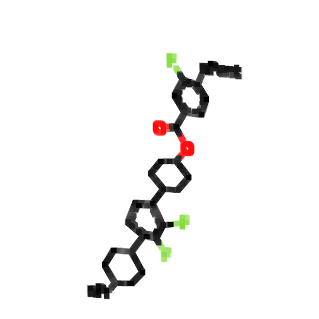 CCCCCc1ccc(C(=O)OC2CCC(c3ccc(C4CCC(CCC)CC4)c(F)c3F)CC2)cc1F